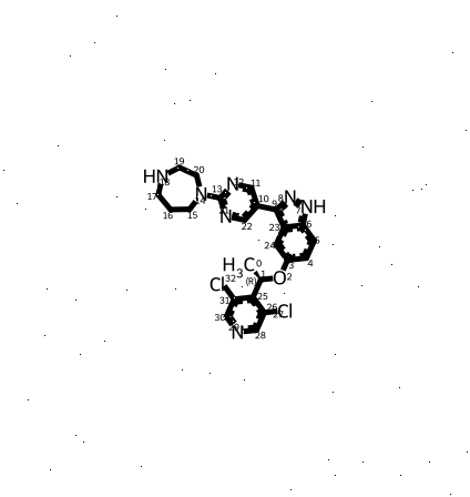 C[C@@H](Oc1ccc2[nH]nc(-c3cnc(N4CCCNCC4)nc3)c2c1)c1c(Cl)cncc1Cl